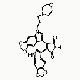 O=C1NC(=O)C(c2cn(CCCN3CCOCC3)c3cc4c(cc23)OCO4)=C1c1c[nH]c2cc3c(cc12)OCO3